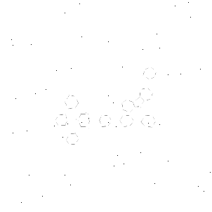 c1ccc(-c2ccc3c(c2)c2ccccc2n3-c2ccccc2-c2ccc(-c3ccc(-c4nc(-c5ccccc5)nc(-c5ccccc5-c5ccccc5)n4)cc3)cc2)cc1